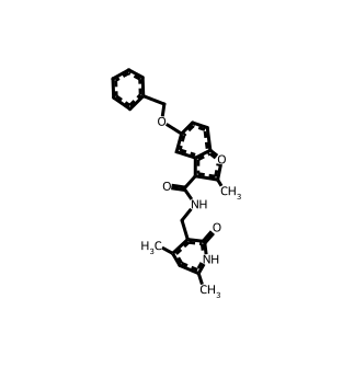 Cc1cc(C)c(CNC(=O)c2c(C)oc3ccc(OCc4ccccc4)cc23)c(=O)[nH]1